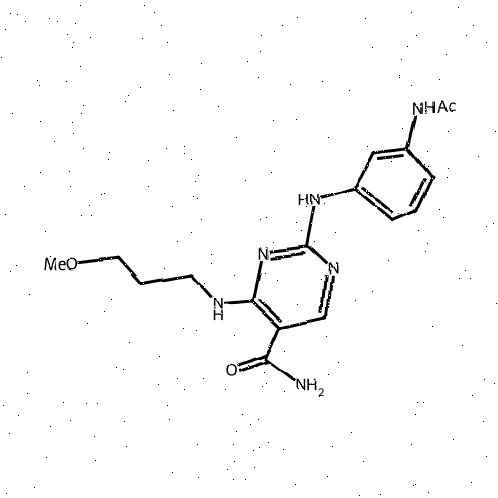 COCCCNc1nc(Nc2cccc(NC(C)=O)c2)ncc1C(N)=O